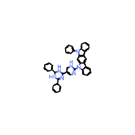 C1=CCC(C2=NC(C3=CN=C(n4c5ccccc5c5cc6c7ccccc7n(-c7ccccc7)c6cc54)NC3)NC(c3ccccc3)N2)C=C1